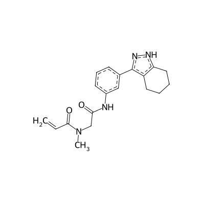 C=CC(=O)N(C)CC(=O)Nc1cccc(-c2n[nH]c3c2CCCC3)c1